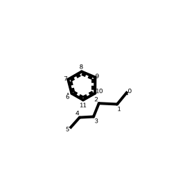 [CH2]CCCCC.[c]1ccccc1